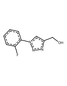 OCc1cn(-c2ccccc2F)nn1